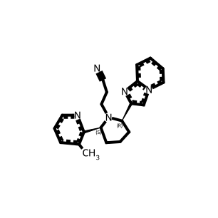 Cc1cccnc1[C@@H]1CCC[C@H](c2cn3ccccc3n2)N1CCC#N